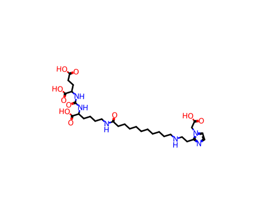 O=C(O)CCC(NC(=O)NC(CCCCNC(=O)CCCCCCCCCCNCCc1nccn1CC(=O)O)C(=O)O)C(=O)O